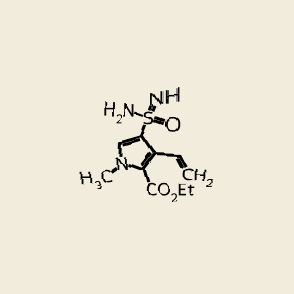 C=Cc1c(S(=N)(N)=O)cn(C)c1C(=O)OCC